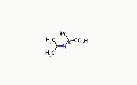 CC(C)=N[C@H](C(=O)O)C(C)C